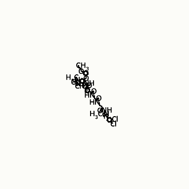 CCCOc1cccc(Oc2cc3c(cc2NS(=O)(=O)c2cccc(C(=O)NCCC(=O)NCCCC(=O)NC4=NN(c5ccc(Cl)c(Cl)c5)CC4C)c2)n(C)c(=O)n3C)c1